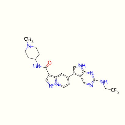 CN1CCC(NC(=O)c2cnn3ccc(-c4c[nH]c5nc(NCC(F)(F)F)ncc45)cc23)CC1